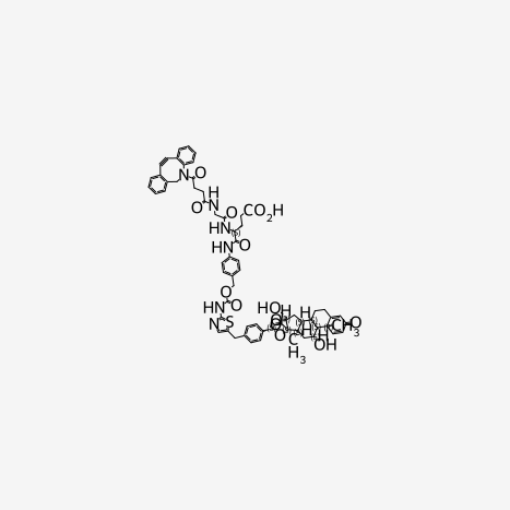 C[C@]12C=CC(=O)C=C1CC[C@@H]1[C@@H]2[C@@H](O)C[C@@]2(C)[C@H]1C[C@H]1O[C@H](c3ccc(Cc4cnc(NC(=O)OCc5ccc(NC(=O)[C@H](CCC(=O)O)NC(=O)CNC(=O)CCC(=O)N6Cc7ccccc7C#Cc7ccccc76)cc5)s4)cc3)O[C@]12C(=O)CO